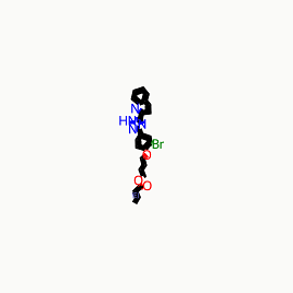 C/C=C/C(=O)OCCCCOc1ccc(-c2n[nH]c(-c3ccc4ccccc4n3)n2)cc1Br